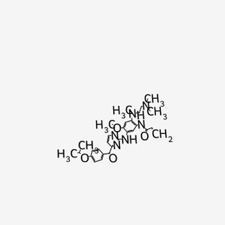 C=CC(=O)Nc1cc(Nc2nccc(C(=O)c3ccc(OC(C)C)cc3)n2)c(OC)cc1N(C)CCN(C)C